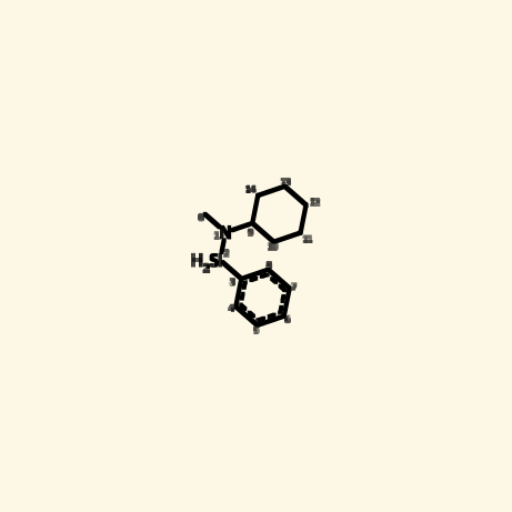 CN([SiH2]c1ccccc1)C1CCCCC1